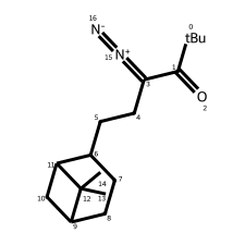 CC(C)(C)C(=O)C(CCC1CCC2CC1C2(C)C)=[N+]=[N-]